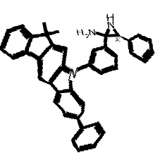 CC1(C)c2ccccc2-c2cc3c4ccc(-c5ccccc5)cc4n(-c4cccc(C5(N)N[C@H]5c5ccccc5)c4)c3cc21